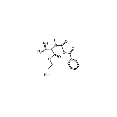 CCOC(=O)C(C(=N)N)N(C)C(=O)OC(=O)c1ccccc1.Cl